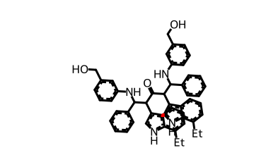 CCc1cccc2c(C(C(=O)C(c3c[nH]c4c(CC)cccc34)C(Nc3cccc(CO)c3)c3ccccc3)C(Nc3cccc(CO)c3)c3ccccc3)c[nH]c12